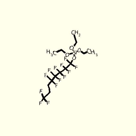 CCO[Si](OCC)(OCC)OC(F)(F)C(F)(F)C(F)(F)C(F)(F)C(F)(F)CCC(F)(F)F